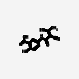 CC(O)=C(C#N)C(=O)Nc1ccc(O)c(C(=O)O)c1